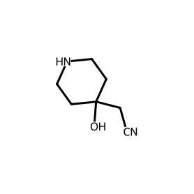 N#CCC1(O)CCNCC1